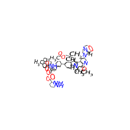 CCn1c(-c2cc(N3CCN4CCOC[C@@H]4C3)cnc2[C@H](C)OC)c(CC(C)(C)COC(C)=O)c2cc(-c3cccc(C[C@H](NC(=O)OC(C)(C)C)C(=O)OC(=O)C4CCCNN4)c3)ccc21